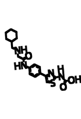 O=C(O)Nc1nc(-c2ccc(NC(=O)CNCC3CCCCC3)cc2)cs1